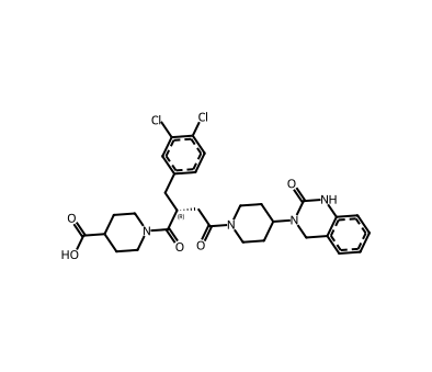 O=C(O)C1CCN(C(=O)[C@@H](CC(=O)N2CCC(N3Cc4ccccc4NC3=O)CC2)Cc2ccc(Cl)c(Cl)c2)CC1